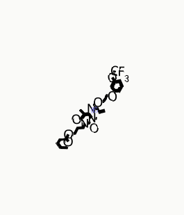 C=C/C(=N\c1c(C)c(=O)n(CCCOC2CCCCO2)c(=O)n1C)OCCOc1cccc(OC(F)(F)F)c1